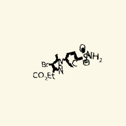 CCOC(=O)c1nn(-c2ccc(S(N)(=O)=O)cc2)c(C)c1Br